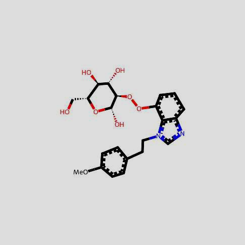 COc1ccc(CCn2cnc3cccc(OO[C@@H]4[C@@H](O)[C@H](O)[C@@H](CO)O[C@H]4O)c32)cc1